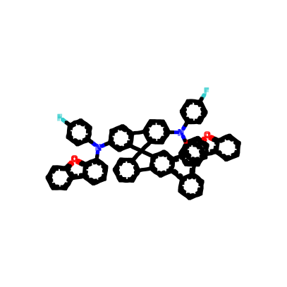 Fc1ccc(N(c2ccc3c(c2)C2(c4ccccc4-c4cc5c6ccccc6c6ccccc6c5cc42)c2cc(N(c4ccc(F)cc4)c4cccc5c4oc4ccccc45)ccc2-3)c2cccc3c2oc2ccccc23)cc1